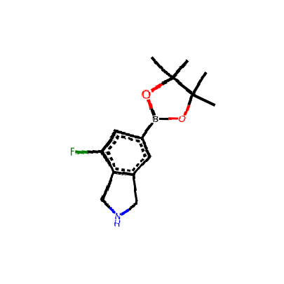 CC1(C)OB(c2cc(F)c3c(c2)CNC3)OC1(C)C